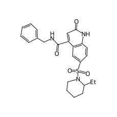 CCC1CCCCN1S(=O)(=O)c1ccc2[nH]c(=O)cc(C(=O)NCc3ccccc3)c2c1